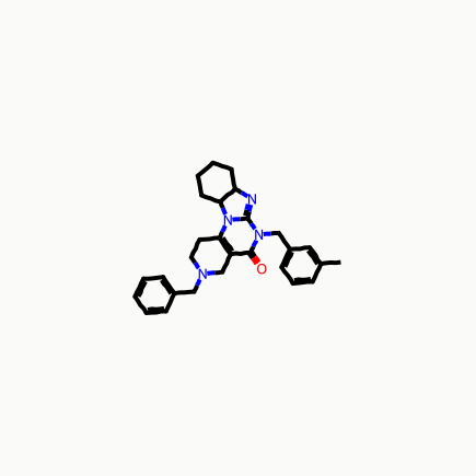 Cc1cccc(CN2C(=O)C3=C(CCN(Cc4ccccc4)C3)N3C2=NC2CCCCC23)c1